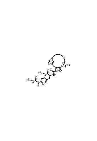 CC(C)[C@H]1COCCCCn2cnc(c2)C[C@@H](NC(=O)NC(Cc2ccc(NC(=O)OC(C)(C)C)nc2)C(=O)OC(C)(C)C)C(=O)N1